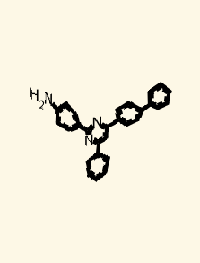 Nc1ccc(-c2nc(-c3ccccc3)cc(-c3ccc(-c4ccccc4)cc3)n2)cc1